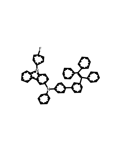 Fc1ccc(-n2c3ccccc3c3cc(N(c4ccccc4)c4ccc(-c5cccc(C(=C(c6ccccc6)c6ccccc6)c6ccccc6)c5)cc4)ccc32)cc1